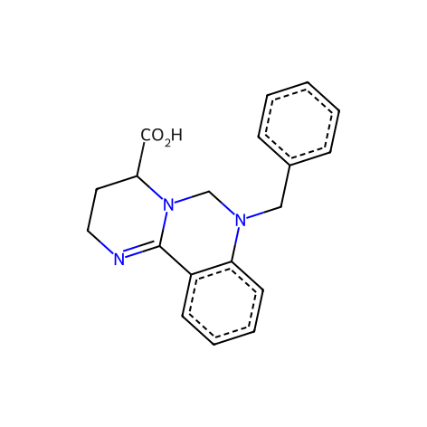 O=C(O)C1CCN=C2c3ccccc3N(Cc3ccccc3)CN21